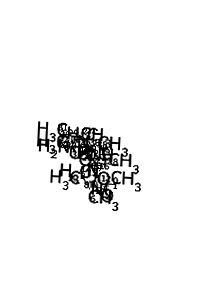 CCCC(=O)N(C)[C@H](CCC)C(=O)N(C)[C@@H](CC(C)C)C(=O)N[C@H](C(=O)N(C)[C@@H](CC(C)C)C(N)=O)C(C)C